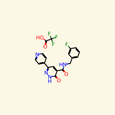 O=C(NCc1cccc(F)c1)c1cc(-c2ccncc2)n[nH]c1=O.O=C(O)C(F)(F)F